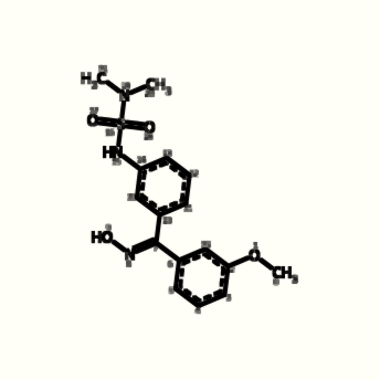 COc1cccc(C(=NO)c2cccc(NS(=O)(=O)N(C)C)c2)c1